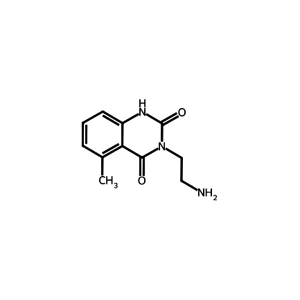 Cc1cccc2[nH]c(=O)n(CCN)c(=O)c12